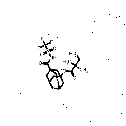 CCC(C)(C)C(=O)OC12CC3CC(C1)CC(C(=O)NS(=O)(=O)C(F)(F)F)(C3)C2